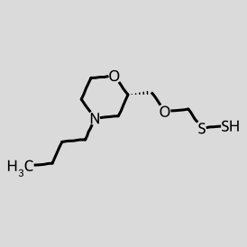 CCCCN1CCO[C@H](COCSS)C1